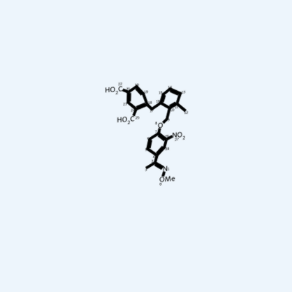 CON=C(C)c1ccc(OCc2c(C)cccc2Cc2ccc(C(=O)O)cc2C(=O)O)c([N+](=O)[O-])c1